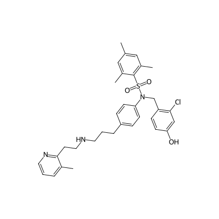 Cc1cc(C)c(S(=O)(=O)N(Cc2ccc(O)cc2Cl)c2ccc(CCCNCCc3ncccc3C)cc2)c(C)c1